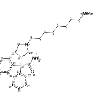 CNCCCCCCCCN1CC[C@@H](C(C(N)=O)(c2ccccc2)c2ccccc2)C1